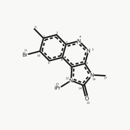 Cc1cc2nnc3c(c2cc1Br)n(C(C)C)c(=O)n3C